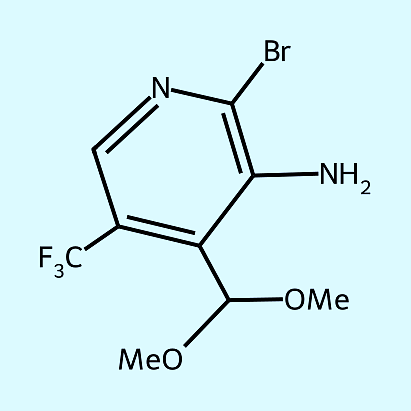 COC(OC)c1c(C(F)(F)F)cnc(Br)c1N